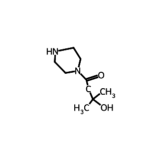 CC(C)(O)CC(=O)N1CCNCC1